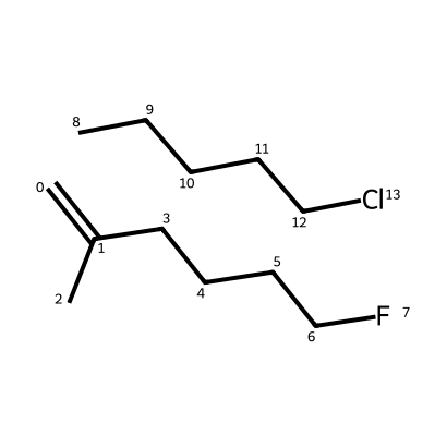 C=C(C)CCCCF.CCCCCCl